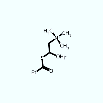 CCC(=O)SC(O)C[N+](C)(C)C.[I-]